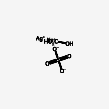 O=C(O)O.O=S(=O)([O-])[O-].[Ag+].[Na+]